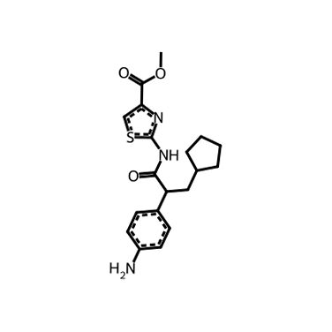 COC(=O)c1csc(NC(=O)C(CC2CCCC2)c2ccc(N)cc2)n1